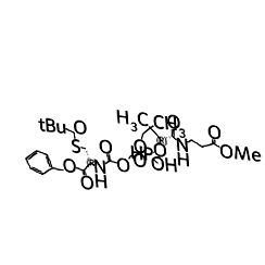 COC(=O)CCNC(=O)[C@@H]1O[PH](O)(OCOC(=O)N[C@@H](CSC(=O)C(C)(C)C)C(=O)OCc2ccccc2)OCC1(C)C